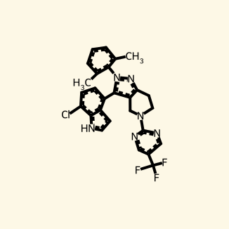 Cc1cccc(C)c1-n1nc2c(c1-c1ccc(Cl)c3[nH]ccc13)CN(c1ncc(C(F)(F)F)cn1)CC2